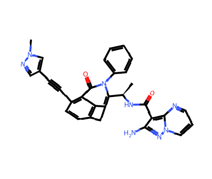 C[C@@H](NC(=O)c1c(N)nn2cccnc12)c1c2c3c(ccc(C#Cc4cnn(C)c4)c3c(=O)n1-c1ccccc1)C2